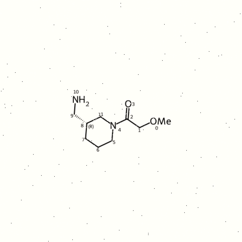 COCC(=O)N1CCC[C@H](CN)C1